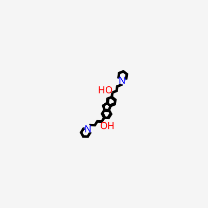 OC(CCCN1CCCCC1)c1ccc2c(c1)Cc1cc(C(O)CCCN3CCCCC3)ccc1-2